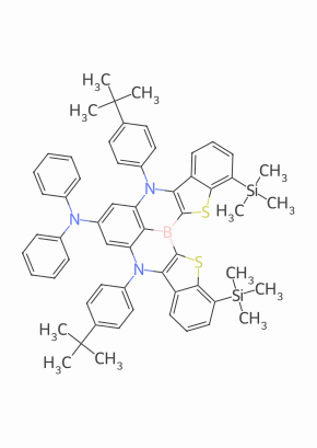 CC(C)(C)c1ccc(N2c3cc(N(c4ccccc4)c4ccccc4)cc4c3B(c3sc5c([Si](C)(C)C)cccc5c32)c2sc3c([Si](C)(C)C)cccc3c2N4c2ccc(C(C)(C)C)cc2)cc1